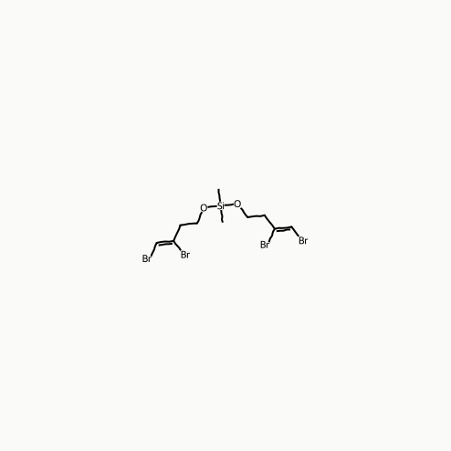 C[Si](C)(OCCC(Br)=CBr)OCCC(Br)=CBr